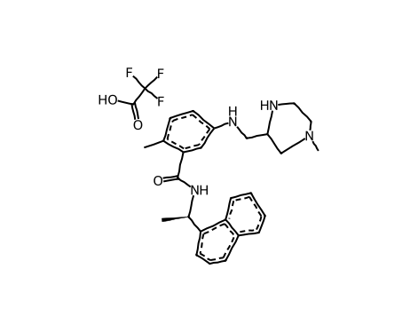 Cc1ccc(NCC2CN(C)CCN2)cc1C(=O)N[C@H](C)c1cccc2ccccc12.O=C(O)C(F)(F)F